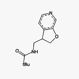 CC(C)(C)C(=O)NCC1COc2cnccc21